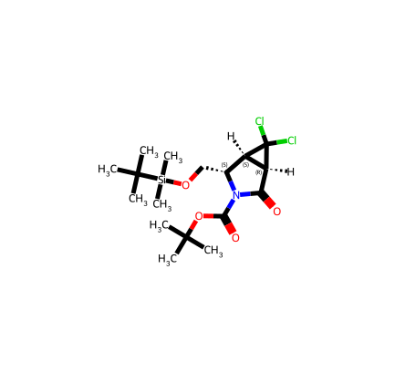 CC(C)(C)OC(=O)N1C(=O)[C@H]2[C@@H]([C@H]1CO[Si](C)(C)C(C)(C)C)C2(Cl)Cl